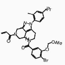 C=CC(=O)N1Cc2nn(-c3ccc(C(C)C)cc3C)c3c2[C@H](C1)N(C(=O)c1ccc(Br)c(OCOC)c1)CC3